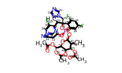 CC(=O)OCC1OC(OP(=O)(OCCC#N)O[C@@](Cn2cncn2)(c2ccc(F)cc2F)C(C)c2ncncc2F)C(C)C(OC(C)=O)C1OC(C)=O